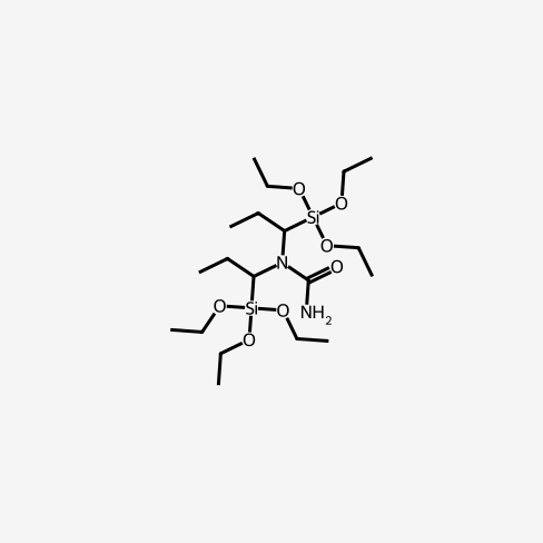 CCO[Si](OCC)(OCC)C(CC)N(C(N)=O)C(CC)[Si](OCC)(OCC)OCC